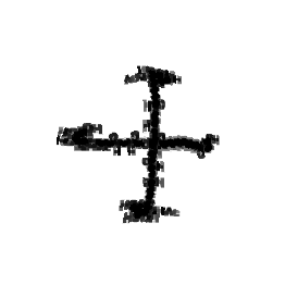 CC(=O)NC1C(OCCCCC(=O)NCCCNCOCC(COCCC(=O)NCCCNC(=O)CCCCOC2OC(CO)C(O)C(O)C2NC(C)=O)(COCCC(=O)NCCCNC(=O)CCCCOC2OC(CO)C(O)C(O)C2NC(C)=O)NC(=O)CCCCCCCCCCC(=O)N2CCC(O)C2)OC(CO)C(O)C1O